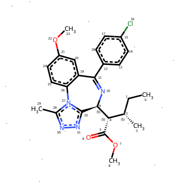 CC[C@H](C)[C@H](C(=O)OC)[C@@H]1N=C(c2ccc(Cl)cc2)c2cc(OC)ccc2-n2c(C)nnc21